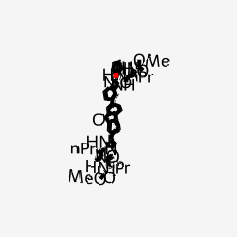 CCC[C@@H](c1ncc(-c2ccc3c(c2)C(=O)c2cc(-c4ccc5nc([C@@H]6[C@H]7CC[C@H](C7)N6C(=O)[C@@H](NC(=O)OC)C(C)C)[nH]c5c4)ccc2-3)[nH]1)N(C)C(=O)[C@@H](NC(=O)OC)C(C)C